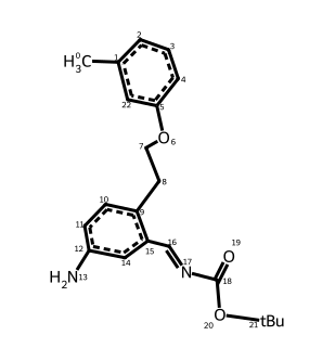 Cc1c[c]cc(OCCc2ccc(N)cc2/C=N/C(=O)OC(C)(C)C)c1